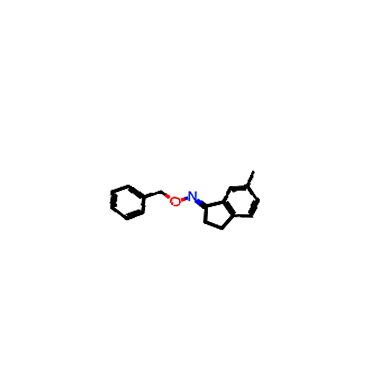 Cc1ccc2c(c1)/C(=N/OCc1ccccc1)CC2